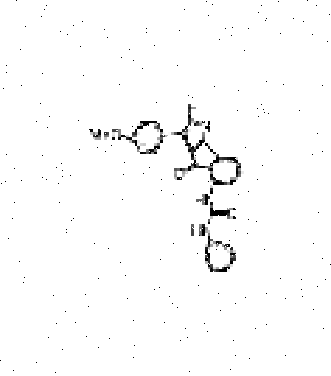 COc1ccc(-c2[nH]nc3c2C(=O)c2c(NC(=O)Nc4ccccc4)cccc2-3)cc1